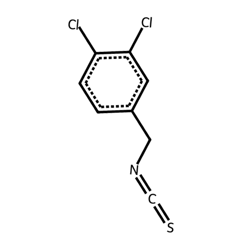 S=C=NCc1ccc(Cl)c(Cl)c1